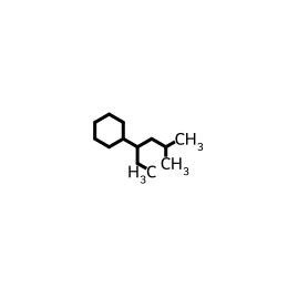 CCC(CC(C)C)C1CCCCC1